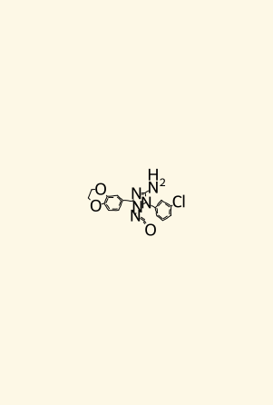 NC1=NC(c2ccc3c(c2)OCCO3)N(N=C=O)N1c1cccc(Cl)c1